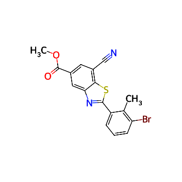 COC(=O)c1cc(C#N)c2sc(-c3cccc(Br)c3C)nc2c1